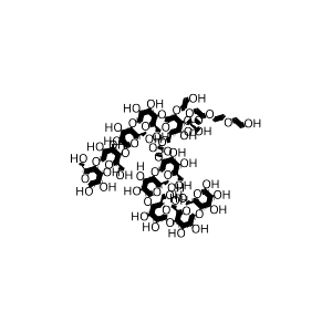 O=S(=O)(O)O[C@H]1[C@H](O)[C@@H](COS(=O)(=O)O[C@H]2[C@@H](O[C@H]3[C@H](O)[C@@H](O)[C@@H](O[C@H]4[C@H](O)[C@@H](O)[C@@H](O[C@H]5[C@H](O)[C@@H](O)[C@@H](O[C@H]6[C@H](O)[C@@H](O)[C@@H](O)O[C@@H]6CO)O[C@@H]5CO)O[C@@H]4CO)O[C@@H]3CO)O[C@H](CO)[C@@H](O)[C@@H]2O)O[C@H](O[C@H]2[C@H](O)[C@@H](O)[C@@H](O[C@H]3[C@H](O)[C@@H](O)[C@@H](O[C@H]4[C@H](O)[C@@H](O)[C@@H](O[C@H]5[C@H](O)[C@@H](O)[C@@H](O)O[C@@H]5CO)O[C@@H]4CO)O[C@@H]3CO)O[C@@H]2CO)[C@@H]1OC(CO)OCCOCCOCCO